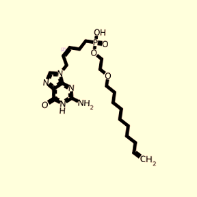 C=CCCCCCCCCOCCOP(=O)(O)CC/C=C\Cn1cnc2c(=O)[nH]c(N)nc21